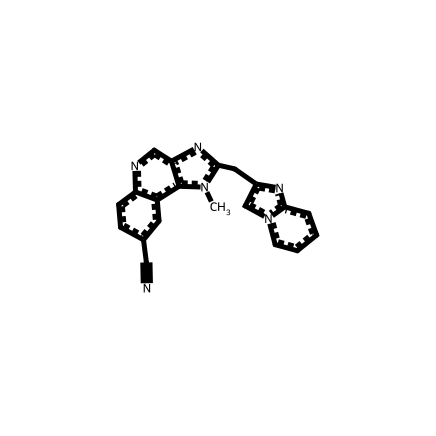 Cn1c(Cc2cn3ccccc3n2)nc2cnc3ccc(C#N)cc3c21